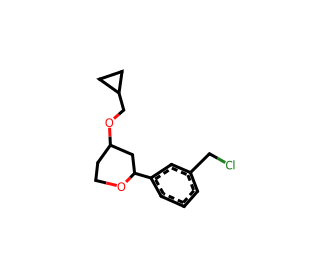 ClCc1cccc(C2CC(OCC3CC3)CCO2)c1